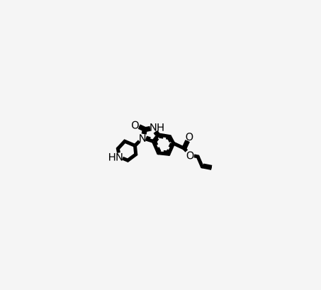 C=CCOC(=O)c1ccc2c(c1)[nH]c(=O)n2C1CCNCC1